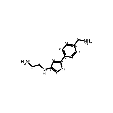 NCCNc1csc(-c2ccc(CN)cc2)c1